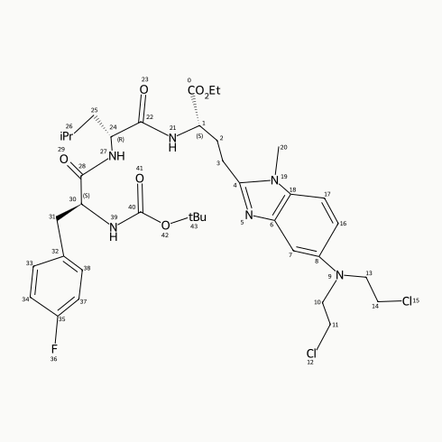 CCOC(=O)[C@H](CCc1nc2cc(N(CCCl)CCCl)ccc2n1C)NC(=O)[C@@H](CC(C)C)NC(=O)[C@H](Cc1ccc(F)cc1)NC(=O)OC(C)(C)C